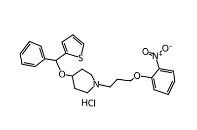 Cl.O=[N+]([O-])c1ccccc1OCCCN1CCC(OC(c2ccccc2)c2cccs2)CC1